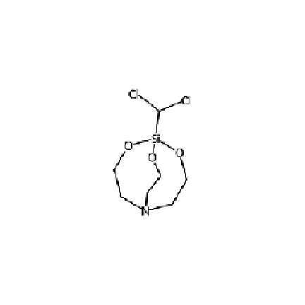 ClC(Cl)[Si]12OCCN(CCO1)CCO2